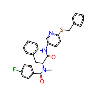 CN(C(=O)c1ccc(F)cc1)C(Cc1ccccc1)C(=O)Nc1ccc(SCc2ccccc2)nc1